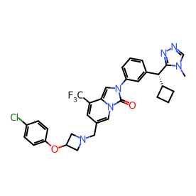 Cn1cnnc1[C@@H](c1cccc(-n2cc3c(C(F)(F)F)cc(CN4CC(Oc5ccc(Cl)cc5)C4)cn3c2=O)c1)C1CCC1